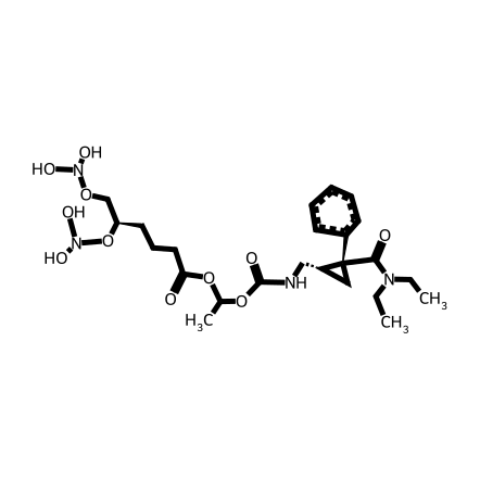 CCN(CC)C(=O)[C@]1(c2ccccc2)C[C@@H]1CNC(=O)OC(C)OC(=O)CCC[C@H](CON(O)O)ON(O)O